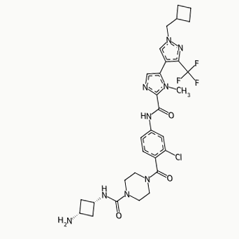 Cn1c(-c2cn(CC3CCC3)nc2C(F)(F)F)cnc1C(=O)Nc1ccc(C(=O)N2CCN(C(=O)N[C@H]3C[C@@H](N)C3)CC2)c(Cl)c1